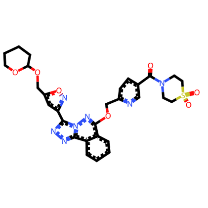 O=C(c1ccc(COc2nn3c(-c4cc(COC5CCCCO5)on4)nnc3c3ccccc23)nc1)N1CCS(=O)(=O)CC1